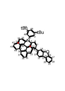 CC(C)(C)c1cc(N(c2ccc(-c3ccc4c(c3)oc3ccccc34)cc2)c2ccccc2-c2cccc3cccc(-c4ccccc4)c23)cc(C(C)(C)C)c1